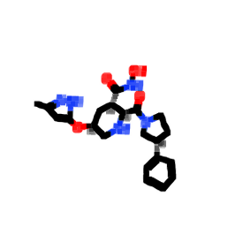 Cc1cc(O[C@@H]2CN[C@H](C(=O)N3CC[C@H](c4ccccc4)C3)[C@@H](C(=O)NO)C2)[nH]n1